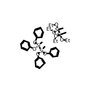 CCO[Si](C)(OCC)[Si](C)(OCC)OCC.C[Si](Oc1ccccc1)(Oc1ccccc1)[Si](C)(Oc1ccccc1)Oc1ccccc1